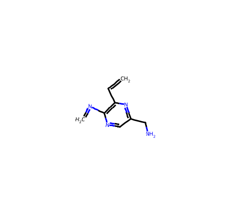 C=Cc1nc(CN)cnc1N=C